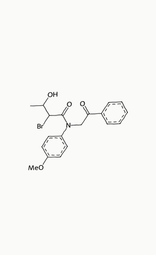 COc1ccc(N(CC(=O)c2ccccc2)C(=O)C(Br)C(C)O)cc1